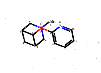 CCC(C)N1CC2CC(C1)C2Oc1ccccn1